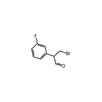 O=CC(CBr)c1cccc(F)c1